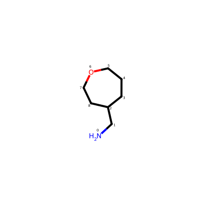 NCC1CCCOCC1